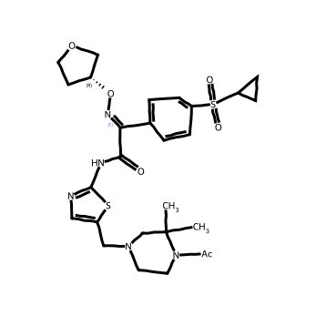 CC(=O)N1CCN(Cc2cnc(NC(=O)/C(=N/O[C@@H]3CCOC3)c3ccc(S(=O)(=O)C4CC4)cc3)s2)CC1(C)C